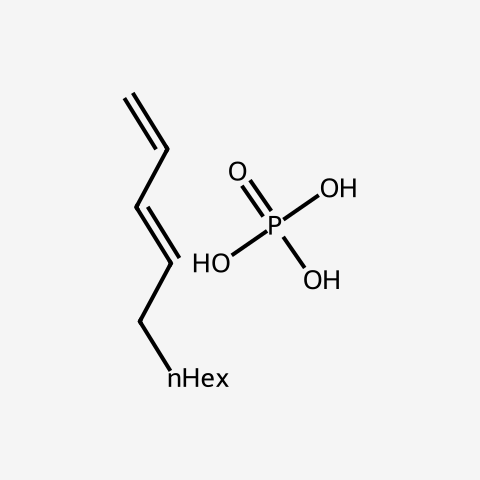 C=CC=CCCCCCCC.O=P(O)(O)O